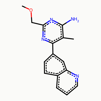 COCc1nc(N)c(C)c(-c2ccc3cccnc3c2)n1